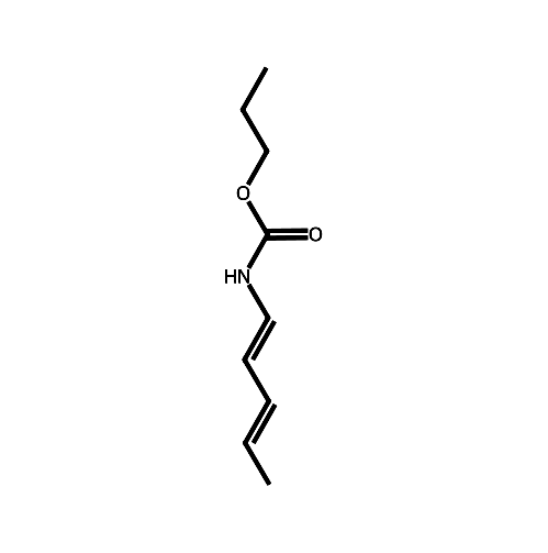 CC=CC=CNC(=O)OCCC